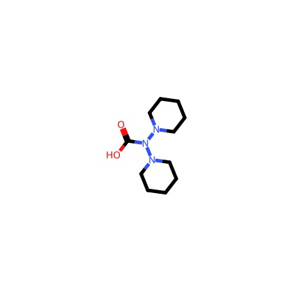 O=C(O)N(N1CCCCC1)N1CCCCC1